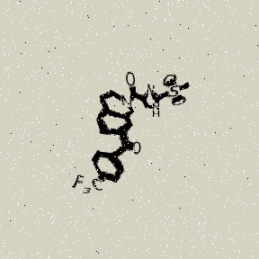 CS(=O)(=O)c1nc(C(=O)N2CCc3ccc(C(=O)c4ccc(C(F)(F)F)cc4)cc3C2)c[nH]1